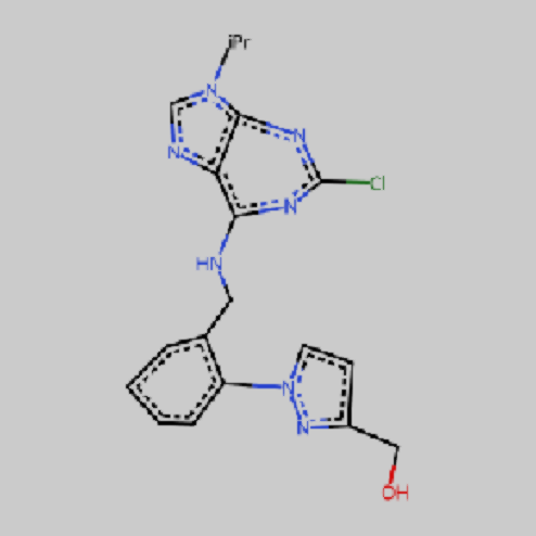 CC(C)n1cnc2c(NCc3ccccc3-n3ccc(CO)n3)nc(Cl)nc21